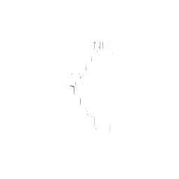 CCCCCCCCC(=O)OC(=O)CCCCCN